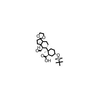 CC(C)(C)[Si](C)(C)O[C@H]1CC[C@](C)([C@H]2CC[C@@]3(C)[C@@H](CCC34OCCO4)[C@@H]2C=O)[C@H](C(=O)O)C1